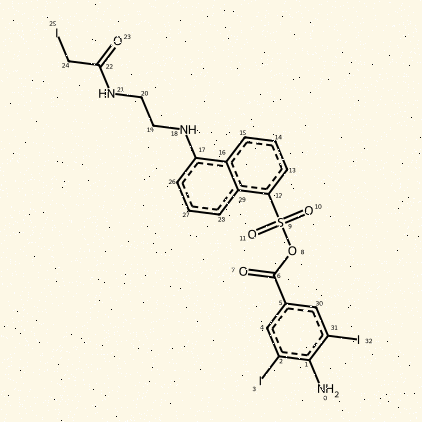 Nc1c(I)cc(C(=O)OS(=O)(=O)c2cccc3c(NCCNC(=O)CI)cccc23)cc1I